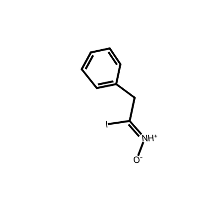 [O-][NH+]=C(I)Cc1ccccc1